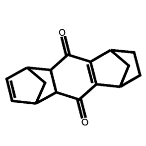 O=C1C2=C(C(=O)C3C4C=CC(C4)C13)C1CCC2C1